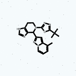 Cc1cccn2nc(C3c4nc[nH]c4CCN3c3nnc(C(C)(C)C)o3)cc12